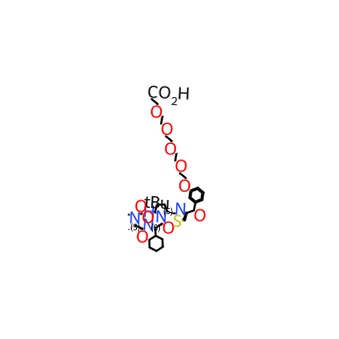 C[C@@H](C(=O)N[C@H](C(=O)N1CCC[C@H]1c1nc(C(=O)c2cccc(OCCOCCOCCOCCOCCC(=O)O)c2)cs1)C1CCCCC1)N(C)C(=O)OC(C)(C)C